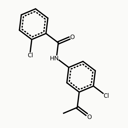 CC(=O)c1cc(NC(=O)c2ccccc2Cl)ccc1Cl